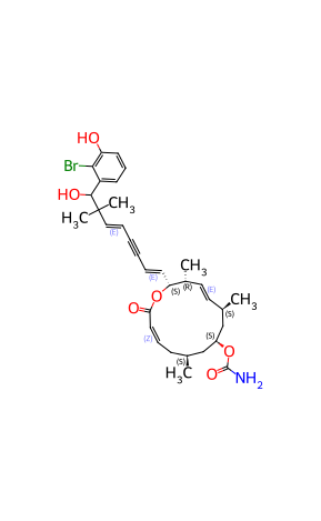 C[C@H]1C/C=C\C(=O)O[C@H](/C=C/C#C/C=C/C(C)(C)C(O)c2cccc(O)c2Br)[C@H](C)/C=C/[C@@H](C)C[C@@H](OC(N)=O)C1